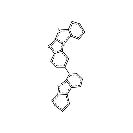 c1ccc2c(c1)nc1sc3ccc(-c4cccc5c4oc4ccccc45)cc3n12